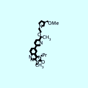 COC[C@@H]1CCN(CCO[C@H](C)c2ccc(-c3ccc4nnc5c(c4c3)n(C(C)C)c(=O)n5C)cn2)C1